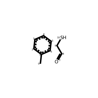 Cc1ccccc1.O=CCS